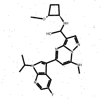 CNc1cc(-c2cn(C(C)C)c3ncc(F)cc23)nc2c(C(O)N[C@@H]3CC[C@H]3OC)cnn12